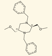 COC[C@@H]1CN(Cc2ccccc2)[C@@H](COC)CN1Cc1ccccc1